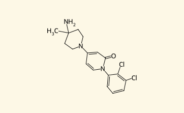 CC1(N)CCN(c2ccn(-c3cccc(Cl)c3Cl)c(=O)c2)CC1